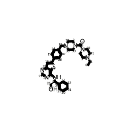 CCN1CCN(C(=O)N2CCN(Cc3ccc(-c4cc5ncnc(N[C@H](CO)c6ccccc6)c5s4)cc3)CC2)CC1